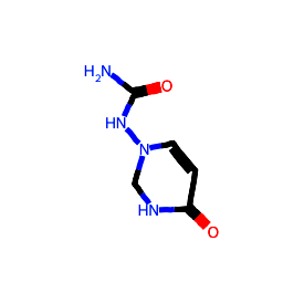 NC(=O)NN1C=CC(=O)NC1